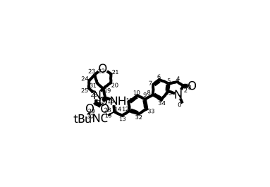 CN1C(=O)Cc2ccc(-c3ccc(C[C@@H](C#N)NC(=O)C45CCOC(CCN4C(=O)OC(C)(C)C)C5)cc3)cc21